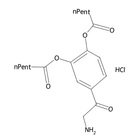 CCCCCC(=O)Oc1ccc(C(=O)CN)cc1OC(=O)CCCCC.Cl